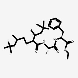 CCOC(=O)[C@H](Cc1ccccc1)NC(=O)[C@H](C)NC(=O)C(CCC(C)CC(C)(C)C)C(C)CC(C)(C)C